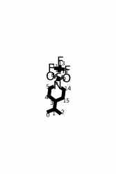 CC(C)C1CCN(S(=O)(=O)C(F)(F)F)CC1